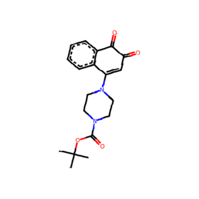 CC(C)(C)OC(=O)N1CCN(C2=CC(=O)C(=O)c3ccccc32)CC1